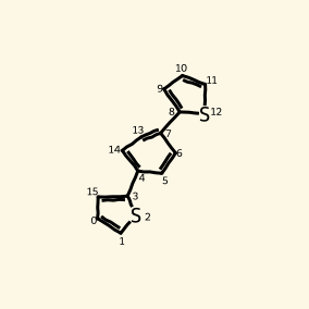 c1csc(-c2ccc(-c3cccs3)cc2)c1